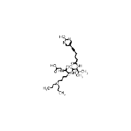 CCCN(CCC)CCCC[C@H](NC(=O)[C@@H](NC(=O)CCCC#Cc1cnc(O)nc1)C(C)C)C(=O)NCC(=O)O